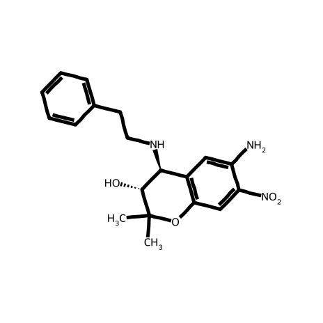 CC1(C)Oc2cc([N+](=O)[O-])c(N)cc2[C@H](NCCc2ccccc2)[C@H]1O